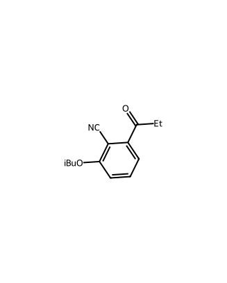 CCC(=O)c1cccc(OCC(C)C)c1C#N